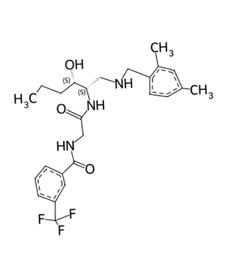 CCC[C@H](O)[C@H](CNCc1ccc(C)cc1C)NC(=O)CNC(=O)c1cccc(C(F)(F)F)c1